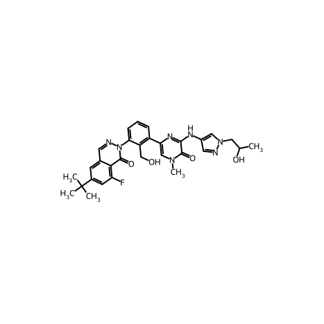 CC(O)Cn1cc(Nc2nc(-c3cccc(-n4ncc5cc(C(C)(C)C)cc(F)c5c4=O)c3CO)cn(C)c2=O)cn1